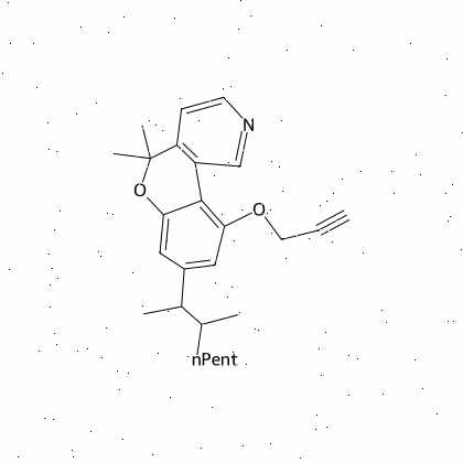 C#CCOc1cc(C(C)C(C)CCCCC)cc2c1-c1cnccc1C(C)(C)O2